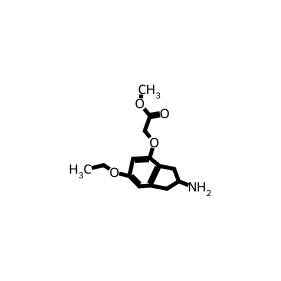 CCOc1cc2c(c(OCC(=O)OC)c1)CC(N)C2